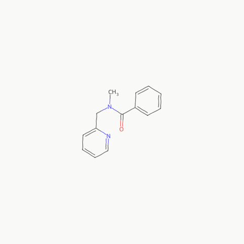 CN(Cc1ccccn1)C(=O)c1ccccc1